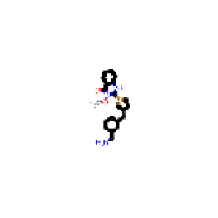 COn1c(=S2C=CC(CC3CCCC(CN)C3)=C2)[nH]c2ccccc2c1=O